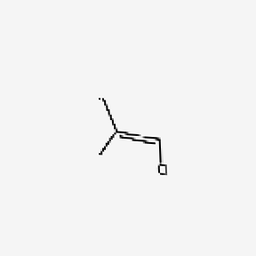 [CH2]/C(C)=C/Cl